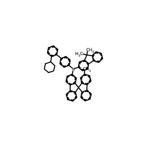 Cc1ccc2c(c1)C1(c3ccccc3-2)c2ccccc2-c2ccc(N(c3ccc(-c4ccccc4C4CCCCC4)cc3)c3ccc4c(c3)C(C)(C)c3ccccc3-4)cc21